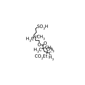 CCOC(=O)C(C)(C)CC(C)(C)C(=O)OCC[N+](C)(C)CCCS(=O)(=O)O